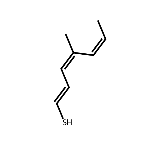 C\C=C/C(C)=C\C=C\S